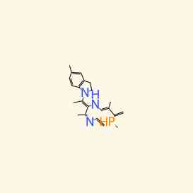 C=C/N=C(C)\C(N/C=C(\C)C(=C)PC)=C(/C)N1CCc2cc(C)ccc21